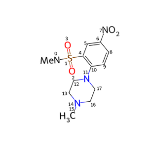 CNS(=O)(=O)c1cc([N+](=O)[O-])ccc1N1CCN(C)CC1